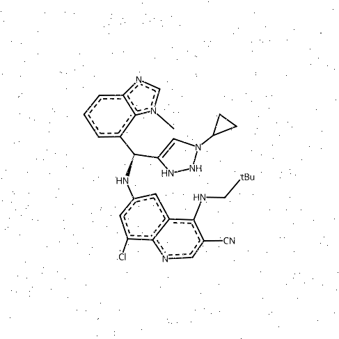 Cn1cnc2cccc([C@H](Nc3cc(Cl)c4ncc(C#N)c(NCC(C)(C)C)c4c3)C3=CN(C4CC4)NN3)c21